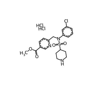 COC(=O)c1ccc(CN(c2cccc(Cl)c2)S(=O)(=O)C2CCNCC2)nc1.Cl.Cl